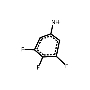 [NH]c1cc(F)c(F)c(F)c1